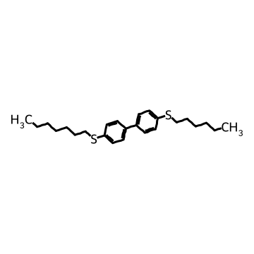 CCCCCCCSc1ccc(-c2ccc(SCCCCCC)cc2)cc1